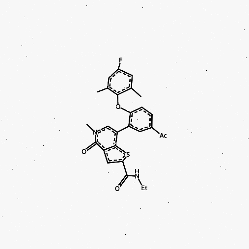 CCNC(=O)c1cc2c(=O)n(C)cc(-c3cc(C(C)=O)ccc3Oc3c(C)cc(F)cc3C)c2s1